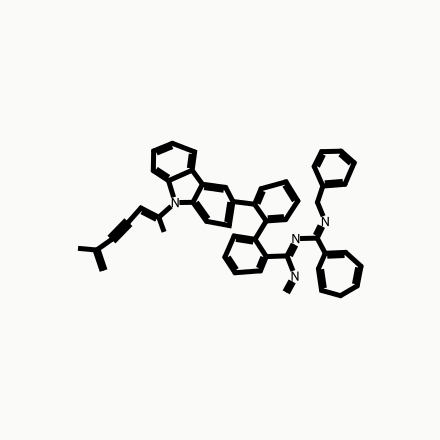 C=N/C(=N\C(=N/Cc1ccccc1)C1=CC=CCC=C1)c1ccccc1-c1ccccc1-c1ccc2c(c1)c1ccccc1n2/C(C)=C/C#CC(=C)C